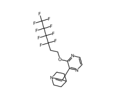 FC(F)(F)C(F)(F)C(F)(F)C(F)(F)CCOc1nccnc1C1=CN2CCC1CC2